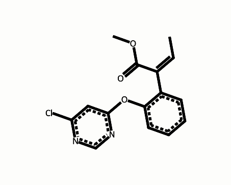 CC=C(C(=O)OC)c1ccccc1Oc1cc(Cl)ncn1